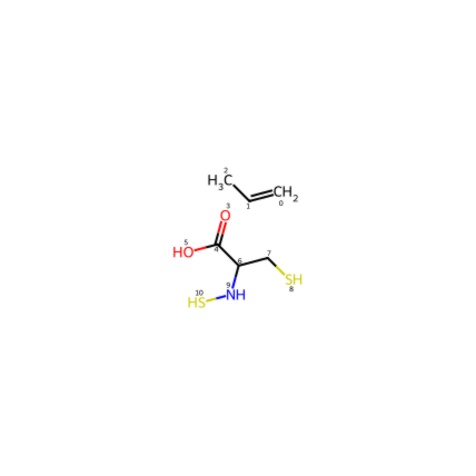 C=CC.O=C(O)C(CS)NS